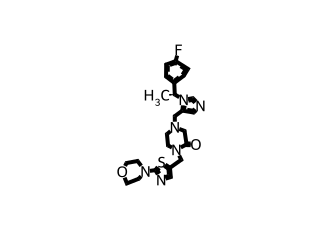 C[C@H](c1ccc(F)cc1)n1cncc1CN1CCN(Cc2cnc(N3CCOCC3)s2)C(=O)C1